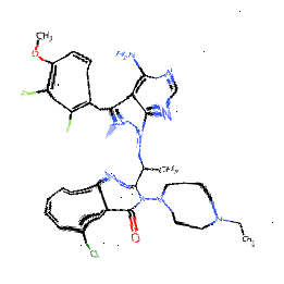 CCN1CCN(n2c(C(C)n3nc(-c4ccc(OC)c(F)c4F)c4c(N)ncnc43)nc3cccc(Cl)c3c2=O)CC1